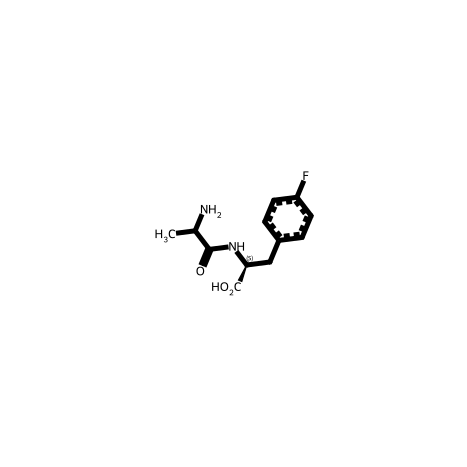 CC(N)C(=O)N[C@@H](Cc1ccc(F)cc1)C(=O)O